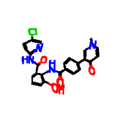 Cn1ccc(=O)c(-c2ccc(C(=O)Nc3c(O)cccc3C(=O)Nc3ccc(Cl)cn3)cc2)c1